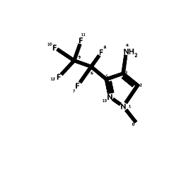 Cn1cc(N)c(C(F)(F)C(F)(F)F)n1